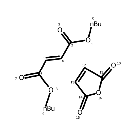 CCCCOC(=O)C=CC(=O)OCCCC.O=C1C=CC(=O)O1